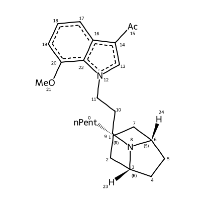 CCCCC[C@H]1C[C@H]2CC[C@@H](C1)N2CCCn1cc(C(C)=O)c2cccc(OC)c21